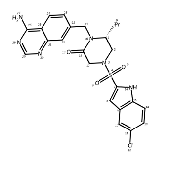 CC(C)[C@@H]1CN(S(=O)(=O)c2cc3cc(Cl)ccc3[nH]2)CC(=O)N1Cc1ccc2c(N)ncnc2c1